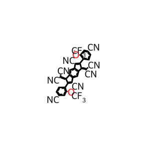 N#CC(C#N)=C1C(c2ccc(C#N)cc2OC(F)(F)F)=C(C#N)c2cc3c(cc21)C(C#N)=C(c1ccc(C#N)cc1OC(F)(F)F)C3=C(C#N)C#N